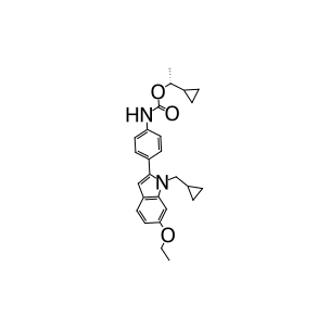 CCOc1ccc2cc(-c3ccc(NC(=O)O[C@H](C)C4CC4)cc3)n(CC3CC3)c2c1